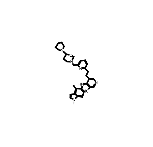 Cc1c(Nc2c(C#N)cncc2CCc2cccc(CN3CCC(N4CCCCC4)CC3)n2)ccc2[nH]ccc12